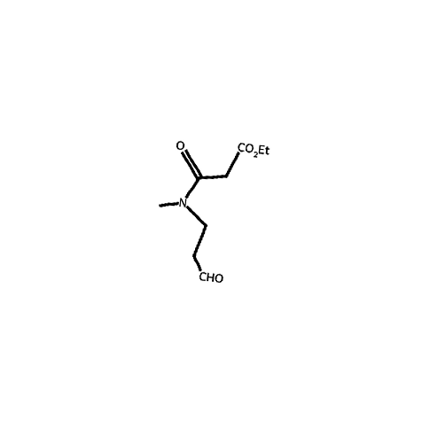 CCOC(=O)CC(=O)N(C)CCC=O